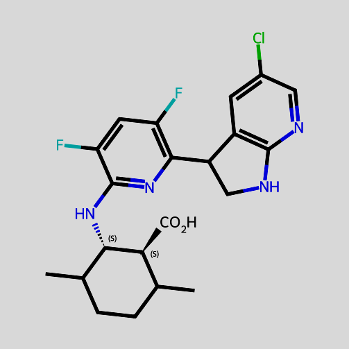 CC1CCC(C)[C@H](C(=O)O)[C@H]1Nc1nc(C2CNc3ncc(Cl)cc32)c(F)cc1F